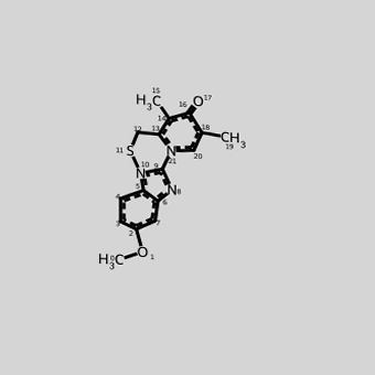 COc1ccc2c(c1)nc1n2SCc2c(C)c(=O)c(C)cn2-1